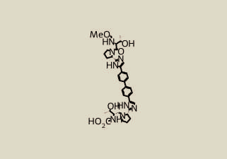 COCN[C@H](C(=O)N1CCC[C@H]1c1ncc(-c2ccc(-c3ccc(-c4cnc([C@@H]5CCCN5C[C@H](NC(=O)O)[C@H](C)O)[nH]4)cc3)cc2)[nH]1)[C@H](C)O